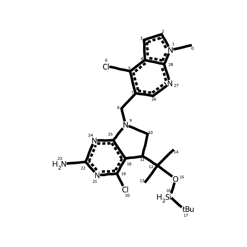 Cn1ccc2c(Cl)c(CN3CC(C(C)(C)O[SiH2]C(C)(C)C)c4c(Cl)nc(N)nc43)cnc21